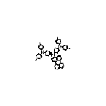 Cc1ccc(N(c2ccc(C)cc2)c2ccc(N(c3ccc(N(c4ccc(C)cc4)c4ccc(C)cc4)cc3)c3ccc4c5cccc6cccc(c7cccc3c74)c65)cc2)cc1